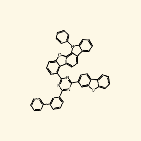 c1ccc(-c2cccc(-c3nc(-c4ccc5c(c4)oc4ccccc45)nc(-c4cccc5oc6c(ccc7c8ccccc8n(-c8ccccc8)c76)c45)n3)c2)cc1